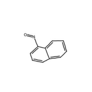 O=Nc1cc[c]c2ccccc12